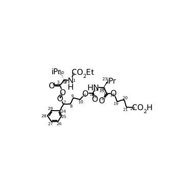 CCOC(=O)N[C@H](C(=O)OOC(CCCOC(=O)N[C@H](C(=O)OCCCC(=O)O)C(C)C)c1ccccc1)C(C)C